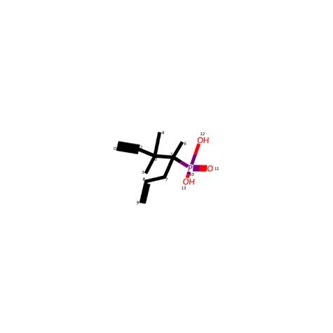 C#CC(C)(C)C(C)(CC=C)P(=O)(O)O